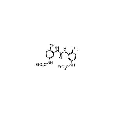 CCOC(=O)Nc1ccc(C)c(NC(=O)Nc2cc(NC(=O)OCC)ccc2C)c1